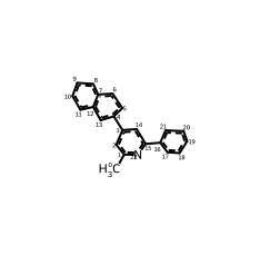 Cc1cc(-c2ccc3ccccc3c2)cc(-c2ccccc2)n1